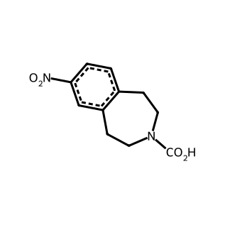 O=C(O)N1CCc2ccc([N+](=O)[O-])cc2CC1